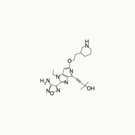 CCn1c(-c2nonc2N)nc2c(C#CC(C)(C)O)nc(OCCC3CCCNC3)cc21